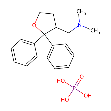 CN(C)CC1CCOC1(c1ccccc1)c1ccccc1.O=P(O)(O)O